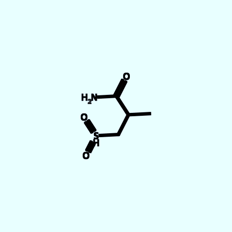 CC(C[SH](=O)=O)C(N)=O